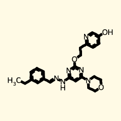 CCc1cccc(/C=N/Nc2cc(N3CCOCC3)nc(OCCc3ccc(O)cn3)n2)c1